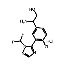 Cl.NC(CO)c1ccc(Cl)c(-c2ncnn2C(F)F)c1